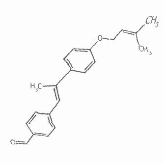 CC(C)=CCOc1ccc(C(C)=Cc2ccc(C=O)cc2)cc1